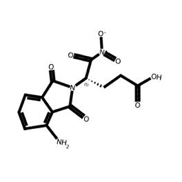 Nc1cccc2c1C(=O)N([C@@H](CCC(=O)O)C(=O)[N+](=O)[O-])C2=O